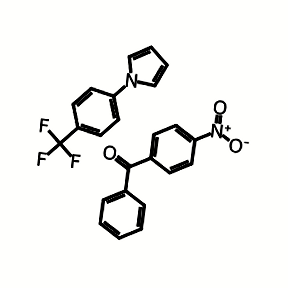 FC(F)(F)c1ccc(-n2cccc2)cc1.O=C(c1ccccc1)c1ccc([N+](=O)[O-])cc1